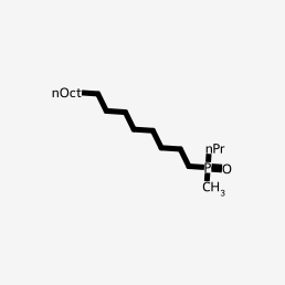 CCCCCCCCCCCCCCCCP(C)(=O)CCC